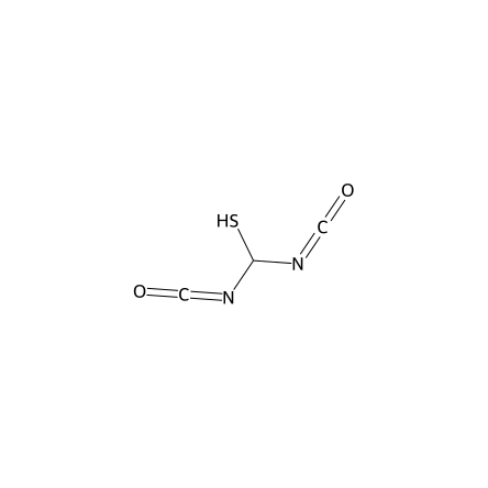 O=C=NC(S)N=C=O